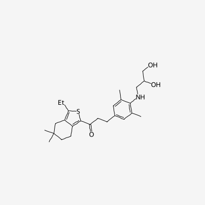 CCc1sc(C(=O)CCc2cc(C)c(NCC(O)CO)c(C)c2)c2c1CC(C)(C)CC2